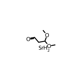 COC(CC=O)OC.[SrH2]